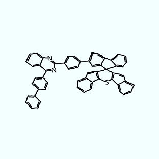 c1ccc(-c2ccc(-c3nc(-c4ccc(-c5ccc6c(c5)C5(c7ccccc7-6)c6ccc7ccccc7c6Sc6c5ccc5ccccc65)cc4)nc4ccccc34)cc2)cc1